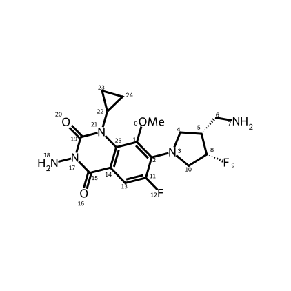 COc1c(N2C[C@H](CN)[C@H](F)C2)c(F)cc2c(=O)n(N)c(=O)n(C3CC3)c12